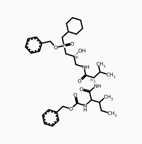 CCC(C)C(NC(=O)OCc1ccccc1)C(=O)N[C@H](C(=O)NC[C@@H](O)CP(=O)(CC1CCCCC1)OCc1ccccc1)C(C)C